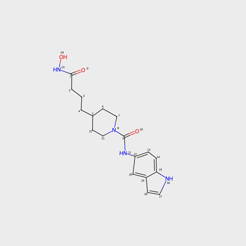 O=C(CCCC1CCN(C(=O)Nc2ccc3[nH]ccc3c2)CC1)NO